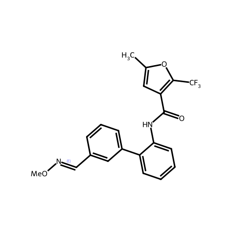 CO/N=C/c1cccc(-c2ccccc2NC(=O)c2cc(C)oc2C(F)(F)F)c1